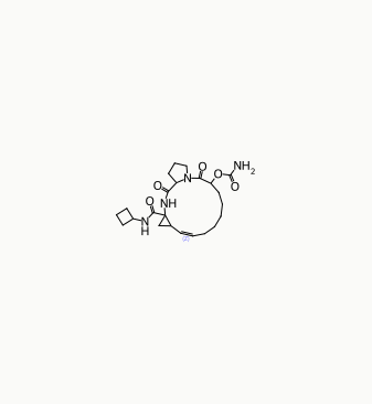 NC(=O)OC1CCCCC/C=C\C2CC2(C(=O)NC2CCC2)NC(=O)C2CCCN2C1=O